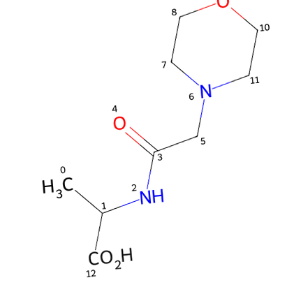 CC(NC(=O)CN1CCOCC1)C(=O)O